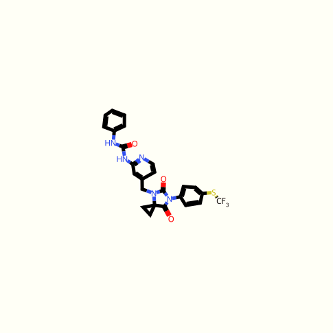 O=C(Nc1ccccc1)Nc1cc(CN2C(=O)N(c3ccc(SC(F)(F)F)cc3)C(=O)C23CC3)ccn1